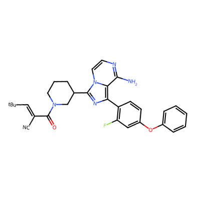 CC(C)(C)C=C(C#N)C(=O)N1CCCC(c2nc(-c3ccc(Oc4ccccc4)cc3F)c3c(N)nccn23)C1